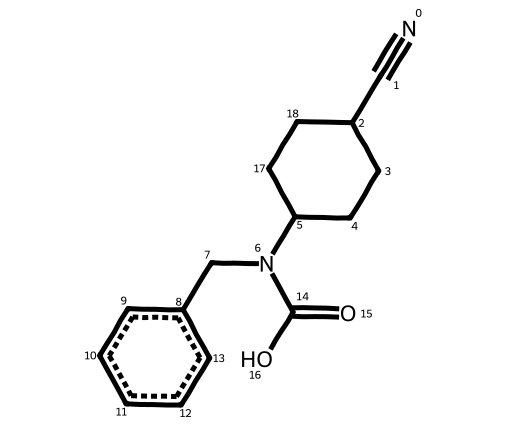 N#CC1CCC(N(Cc2ccccc2)C(=O)O)CC1